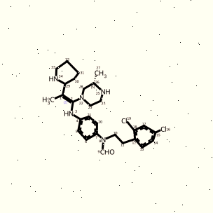 C/C(=C(\Nc1ccc(N(C=O)CCc2ccc(Cl)cc2Cl)cc1)N1CCN[C@@H](C)C1)C1CCCCN1